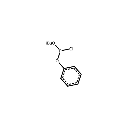 CC(C)COP(Cl)Oc1ccccc1